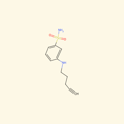 C#CCCCNc1cccc(S(N)(=O)=O)c1